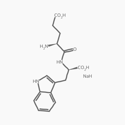 N[C@@H](CCC(=O)O)C(=O)N[C@H](Cc1c[nH]c2ccccc12)C(=O)O.[NaH]